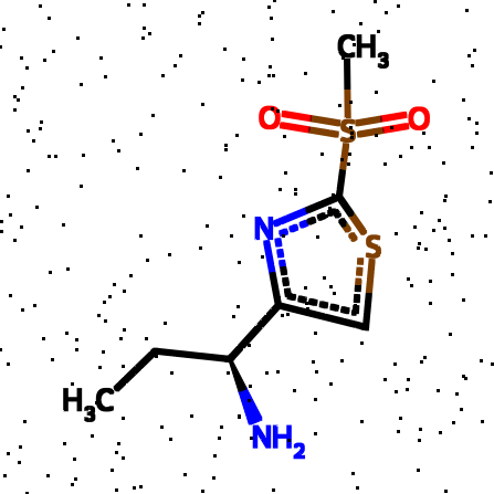 CC[C@H](N)c1csc(S(C)(=O)=O)n1